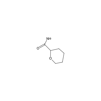 [NH]C(=O)C1CCCCO1